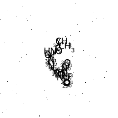 CC(C)=CC(=O)NCC(=O)N1CCN(Cc2cc3c(N4CCOCC4)nc(-c4ccccc4F)nn3c2)CC1